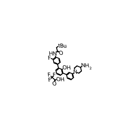 CC(C)(C)CC(=O)Nc1ccc(-c2cccc(-c3cccc(N4CCC(N)CC4)c3)c2O)cc1F.O=C(O)C(F)(F)F